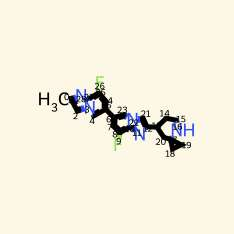 Cc1cn2cc(-c3cc(F)c4nc(C5CCNC6(CC6)C5)cn4c3)cc(F)c2n1